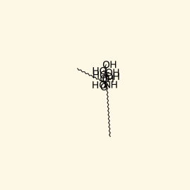 CCCCCCCCCCCCCCCCCCCCCCCCCC(=O)N[C@@H](COC(O)C(O)C(O)C(O)CCO)[C@H](O)[C@H](O)CCCCCCCCCCCCCC